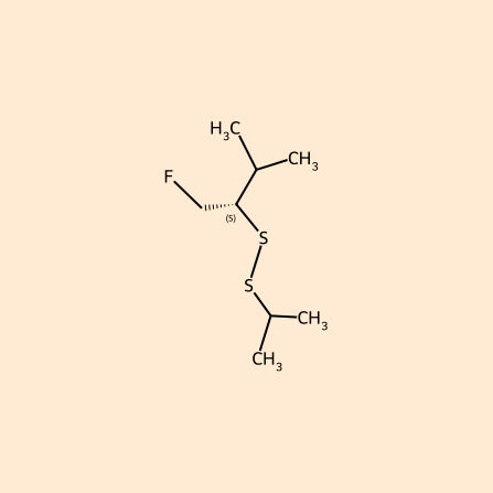 CC(C)SS[C@H](CF)C(C)C